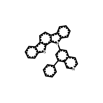 c1ccc(-c2cc(-n3c4ccccc4c4ccc5c6ccccc6sc5c43)cc3ccncc23)cc1